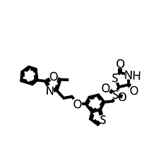 Cc1oc(-c2ccccc2)nc1CCOc1ccc(CS(=O)(=O)C2SC(=O)NC2=O)c2sccc12